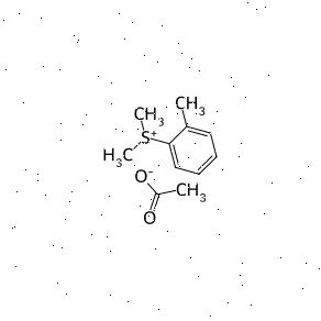 CC(=O)[O-].Cc1ccccc1[S+](C)C